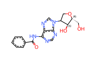 O=C(Nc1ncnc2c1ncn2C1CO[C@H](CO)[C@H]1O)c1ccccc1